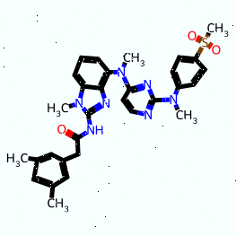 Cc1cc(C)cc(CC(=O)Nc2nc3c(N(C)c4ccnc(N(C)c5ccc(S(C)(=O)=O)cc5)n4)cccc3n2C)c1